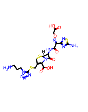 NCCCn1nnnc1SCC1=C(C(=O)O)N2C(=O)C(NC(=O)C(=NOCC(=O)O)c3nsc(N)n3)[C@@H]2SC1